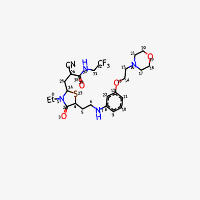 CCN1C(=O)C(CCNc2cccc(OCCN3CCOCC3)c2)SC1CC(C#N)C(=O)NCC(F)(F)F